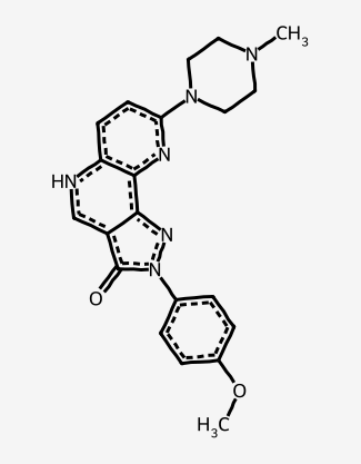 COc1ccc(-n2nc3c4nc(N5CCN(C)CC5)ccc4[nH]cc-3c2=O)cc1